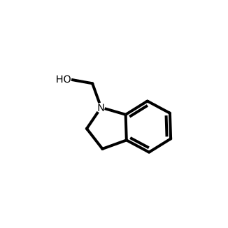 OCN1CCc2ccccc21